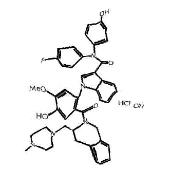 COc1cc(-n2cc(C(=O)N(c3ccc(O)cc3)c3ccc(F)cc3)c3ccccc32)c(C(=O)N2Cc3ccccc3C[C@H]2CN2CCN(C)CC2)cc1O.Cl.Cl